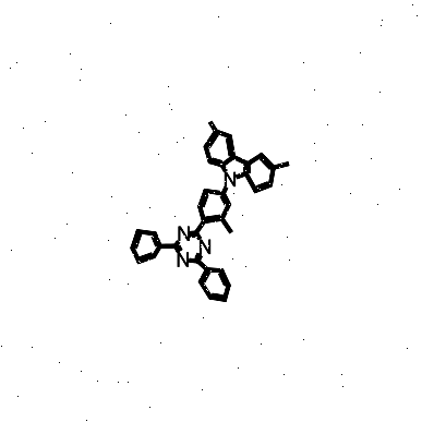 Cc1ccc2c(c1)c1cc(C)ccc1n2-c1ccc(-c2nc(-c3ccccc3)nc(-c3ccccc3)n2)c(C)c1